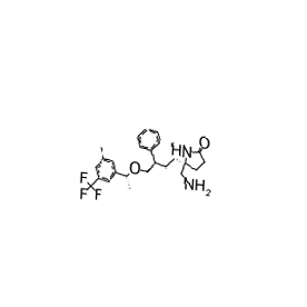 Cc1cc([C@@H](C)OC[C@H](CC[C@@]2(CN)CCC(=O)N2)c2ccccc2)cc(C(F)(F)F)c1